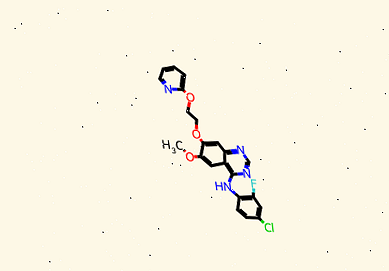 COc1cc2c(Nc3ccc(Cl)cc3F)ncnc2cc1OCCOc1ccccn1